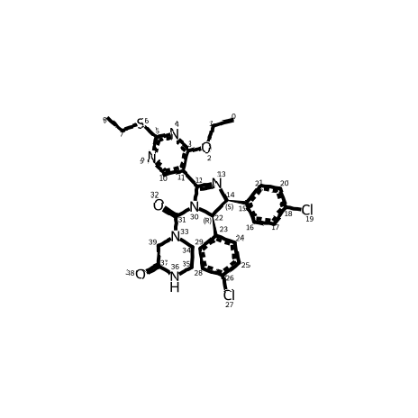 CCOc1nc(SCC)ncc1C1=N[C@@H](c2ccc(Cl)cc2)[C@@H](c2ccc(Cl)cc2)N1C(=O)N1CCNC(=O)C1